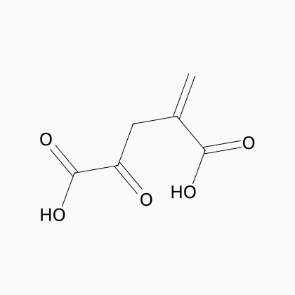 C=C(CC(=O)C(=O)O)C(=O)O